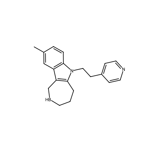 Cc1ccc2c(c1)c1c(n2CCc2ccncc2)CCCBC1